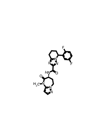 CN1C(=O)[C@@H](NC(=O)c2nc3n(n2)C(c2cc(F)ccc2F)CCC3)CCn2nccc21